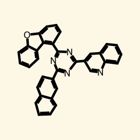 c1ccc2cc(-c3nc(-c4cnc5ccccc5c4)nc(-c4cccc5oc6ccccc6c45)n3)ccc2c1